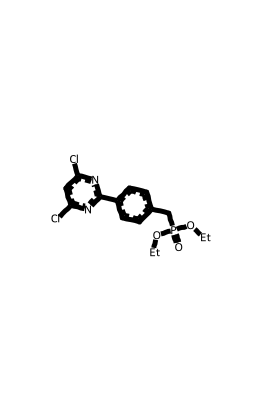 CCOP(=O)(Cc1ccc(-c2nc(Cl)cc(Cl)n2)cc1)OCC